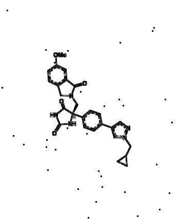 COc1ccc2c(c1)C(=O)N(C[C@@]1(c3ccc(-c4cnn(CC5CC5)c4)cc3)NC(=O)NC1=O)C2